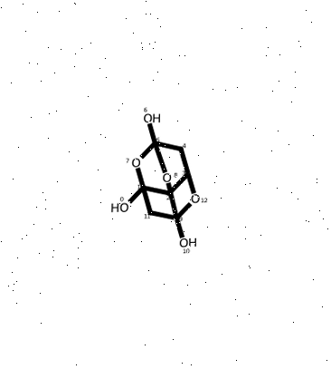 OC12CC3CC(O)(O1)OC(O)(C2)O3